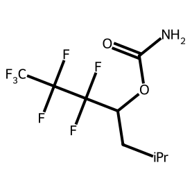 CC(C)CC(OC(N)=O)C(F)(F)C(F)(F)C(F)(F)F